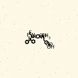 CN(CCC1CCN(C(=O)O)CC1)CC1(O)CCC(n2cc(N=C(c3ccccc3)c3ccccc3)c(C(F)F)n2)CC1